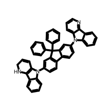 C1=Cc2c(c3ccccc3n2-c2ccc3c(c2)C(c2ccccc2)(c2ccccc2)c2cc(-n4c5ccccc5c5ncccc54)ccc2-3)NC1